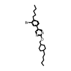 CCCCCc1ccc(-c2cnc(OCC3CCC(CCCCC)CC3)nc2)cc1Br